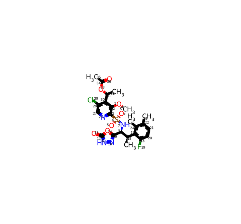 COc1c(S(=O)(=O)N[C@H](c2n[nH]c(=O)o2)[C@H](C)c2c(F)ccc(C)c2C)ncc(Cl)c1C(C)OC(C)=O